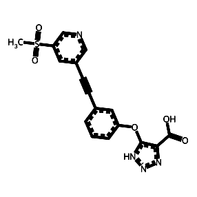 CS(=O)(=O)c1cncc(C#Cc2cccc(Oc3[nH]nnc3C(=O)O)c2)c1